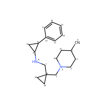 N#CC1CCN(CC2(CNC3CC3c3ccccc3)CC2)CC1